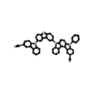 N#Cc1ccc2c(c1)c1ccccc1n2-c1ccc2oc3ccc(-n4c5ccccc5c5c6c7cc(C#N)ccc7n(-c7ccccc7)c6ccc54)cc3c2c1